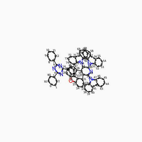 c1ccc(-c2nc(-c3ccccc3)nc(-c3ccc(-c4c(-c5cccc6oc7ccccc7c56)c(-n5c6ccccc6c6ccccc65)nc(-n5c6ccccc6c6ccccc65)c4-n4c5ccccc5c5ccccc54)cc3)n2)cc1